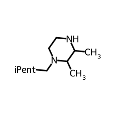 CCCC(C)CN1CCNC(C)C1C